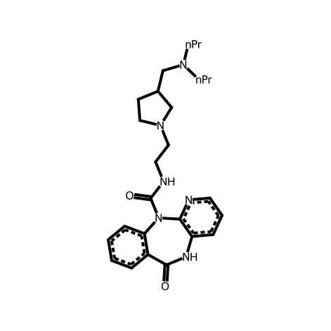 CCCN(CCC)CC1CCN(CCNC(=O)N2c3ccccc3C(=O)Nc3cccnc32)C1